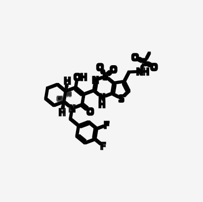 CS(=O)(=O)NCc1csc2c1S(=O)(=O)N=C(C1=C(O)[C@H]3CCCC[C@H]3N(Cc3ccc(F)c(F)c3)C1=O)N2